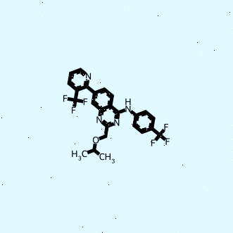 CC(C)OCc1nc(Nc2ccc(C(F)(F)F)cc2)c2ccc(-c3ncccc3C(F)(F)F)cc2n1